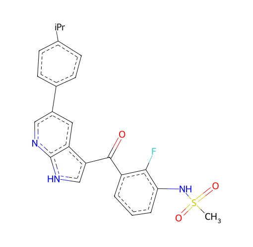 CC(C)c1ccc(-c2cnc3[nH]cc(C(=O)c4cccc(NS(C)(=O)=O)c4F)c3c2)cc1